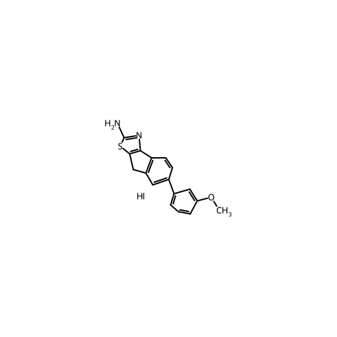 COc1cccc(-c2ccc3c(c2)Cc2sc(N)nc2-3)c1.I